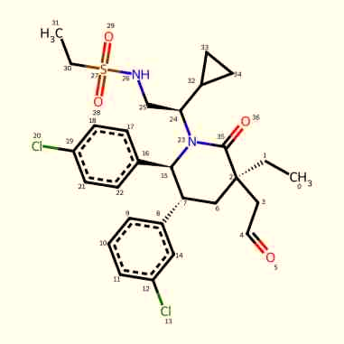 CC[C@]1(CC=O)C[C@H](c2cccc(Cl)c2)[C@@H](c2ccc(Cl)cc2)N([C@@H](CNS(=O)(=O)CC)C2CC2)C1=O